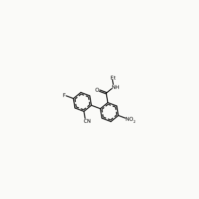 CCNC(=O)c1cc([N+](=O)[O-])ccc1-c1ccc(F)cc1C#N